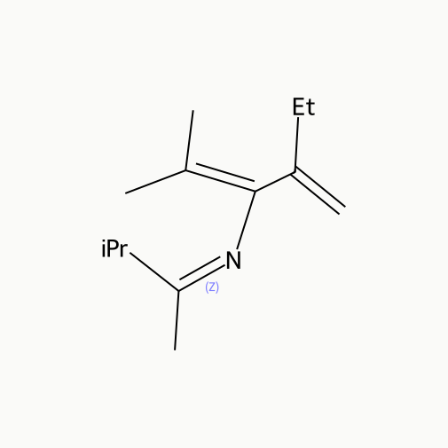 C=C(CC)C(/N=C(/C)C(C)C)=C(C)C